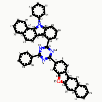 c1ccc(-c2nc(-c3ccc4c(c3)oc3cc5ccccc5cc34)nc(-c3cccc4c3c3ccc5ccccc5c3n4-c3ccccc3)n2)cc1